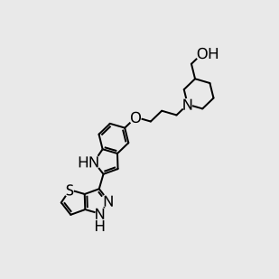 OCC1CCCN(CCCOc2ccc3[nH]c(-c4n[nH]c5ccsc45)cc3c2)C1